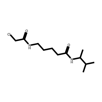 CC(C)C(C)NC(=O)CCCCNC(=O)CCl